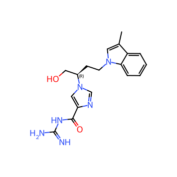 Cc1cn(CC[C@H](CO)n2cnc(C(=O)NC(=N)N)c2)c2ccccc12